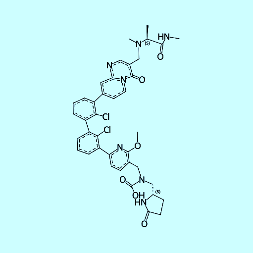 CNC(=O)[C@H](C)N(C)Cc1cnc2cc(-c3cccc(-c4cccc(-c5ccc(CN(C[C@@H]6CCC(=O)N6)C(=O)O)c(OC)n5)c4Cl)c3Cl)ccn2c1=O